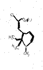 C/C(Cl)=C\C1C=C=CN(C)C1(C)C